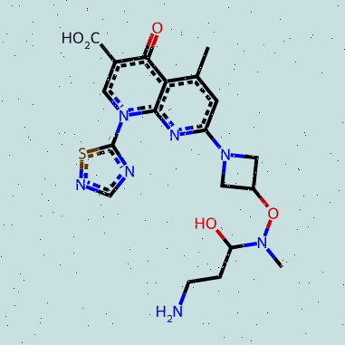 Cc1cc(N2CC(ON(C)C(O)CCN)C2)nc2c1c(=O)c(C(=O)O)cn2-c1ncns1